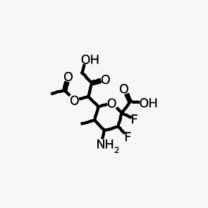 CC(=O)OC(C(=O)CO)C1OC(F)(C(=O)O)C(F)C(N)C1C